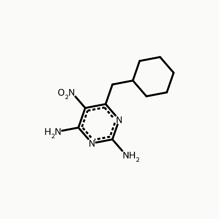 Nc1nc(N)c([N+](=O)[O-])c(CC2CCCCC2)n1